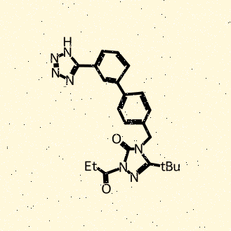 CCC(=O)n1nc(C(C)(C)C)n(Cc2ccc(-c3cccc(-c4nnn[nH]4)c3)cc2)c1=O